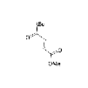 COC(=O)/C=C/C(=O)C(C)(C)C